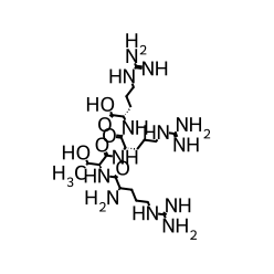 C[C@@H](O)[C@H](NC(=O)[C@@H](N)CCCNC(=N)N)C(=O)N[C@@H](CCCNC(=N)N)C(=O)N[C@@H](CCCNC(=N)N)C(=O)O